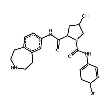 O=C(Nc1ccc2c(c1)CCNCC2)C1CC(O)CN1C(=O)NC1=CCC(Br)C=C1